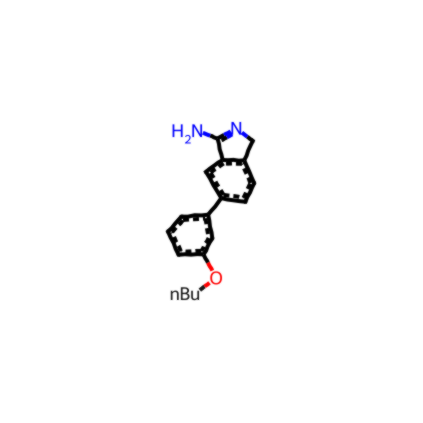 CCCCOc1cccc(-c2ccc3c(c2)C(N)=NC3)c1